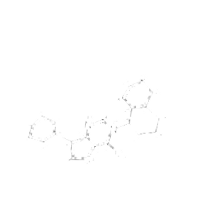 O=c1c2scc(-c3ccccc3)c2ncn1C1CCCc2ccccc21